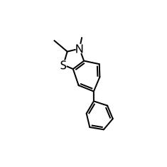 CC1Sc2cc(-c3ccccc3)ccc2N1C